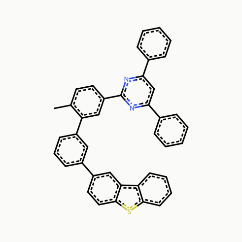 Cc1ccc(-c2nc(-c3ccccc3)cc(-c3ccccc3)n2)cc1-c1cccc(-c2ccc3sc4ccccc4c3c2)c1